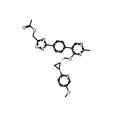 COc1ccc([C@H]2C[C@@H]2COc2nc(C)ncc2-c2ccc(-c3noc(COC(C)=O)n3)cc2)nc1